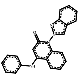 O=c1cc(Nc2ccccc2)c2ccccc2n1-n1cc2ccccc2n1